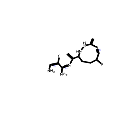 C=C1NNC(C(=C)/N=C(N)\C(F)=C/N)CCC(F)/C=I\1